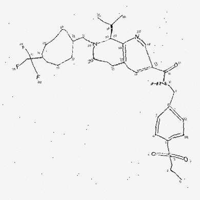 CCS(=O)(=O)c1ccc(CNC(=O)c2cnc3c(c2)CCN(CC2CCC(C(F)(F)F)CC2)[C@H]3C(C)C)cc1